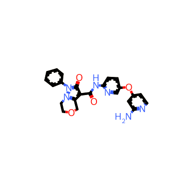 Nc1cc(Oc2ccc(NC(=O)c3c4n(n(-c5ccccc5)c3=O)CCOC4)nc2)ccn1